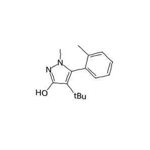 Cc1ccccc1-c1c(C(C)(C)C)c(O)nn1C